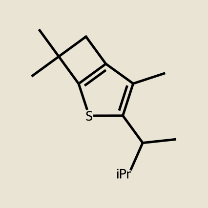 Cc1c(C(C)C(C)C)sc2c1CC2(C)C